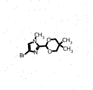 Cn1cc(Br)nc1C1OCC(C)(C)CO1